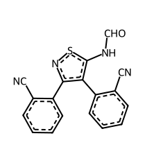 N#Cc1ccccc1-c1nsc(NC=O)c1-c1ccccc1C#N